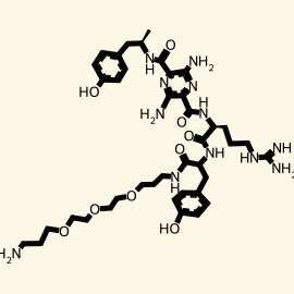 C[C@H](Cc1ccc(O)cc1)NC(=O)c1nc(N)c(C(=O)N[C@@H](CCCNC(=N)N)C(=O)NC(Cc2ccc(O)cc2)C(=O)NCCCOCCOCCOCCCN)nc1N